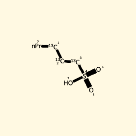 CCC[13CH2][13CH2][13CH2]S(=O)(=O)O